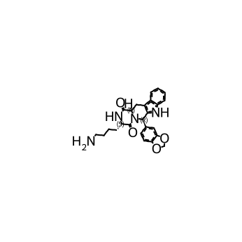 NCCCC[C@@H]1NC(=O)[C@H]2Cc3c([nH]c4ccccc34)[C@@H](c3ccc4c(c3)OCO4)N2C1=O